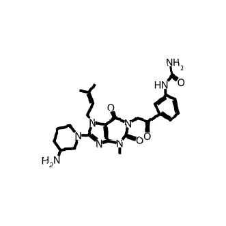 CC(C)=CCn1c(N2CCCC(N)C2)nc2c1c(=O)n(CC(=O)c1cccc(NC(N)=O)c1)c(=O)n2C